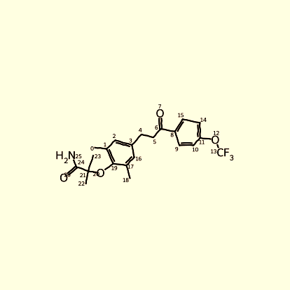 Cc1cc(CCC(=O)c2ccc(OC(F)(F)F)cc2)cc(C)c1OC(C)(C)C(N)=O